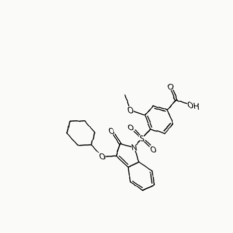 COc1cc(C(=O)O)ccc1S(=O)(=O)N1C(=O)C(OC2CCCCC2)=C2C=CC=CC21